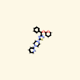 c1ccc(C(OC2CCCCO2)c2nsc(N3CCN(c4ccccn4)CC3)n2)cc1